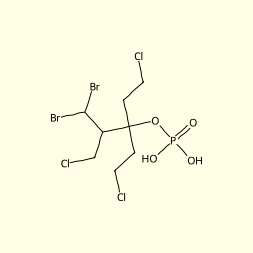 O=P(O)(O)OC(CCCl)(CCCl)C(CCl)C(Br)Br